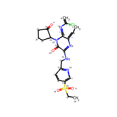 C=C(Cl)/N=C1\C(=C/C)N=C(NCc2ccc(S(=O)(=O)CC)cn2)C(=O)N1C1CCCC1=O